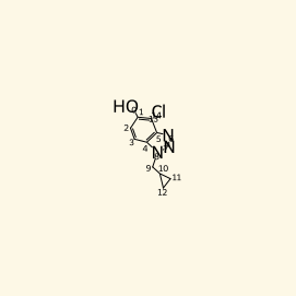 Oc1ccc2c(nnn2CC2CC2)c1Cl